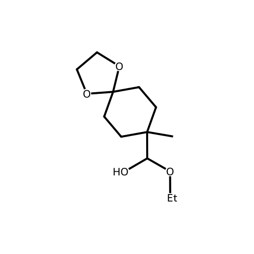 CCOC(O)C1(C)CCC2(CC1)OCCO2